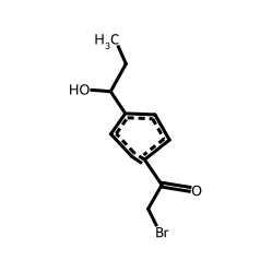 CCC(O)c1ccc(C(=O)CBr)cc1